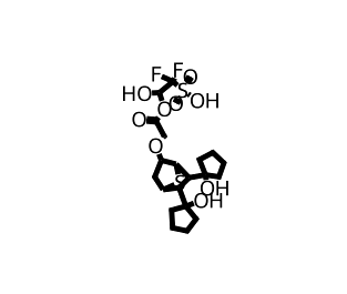 O=C(COC1CC2SC1C(C1(O)CCCC1)C2C1(O)CCCC1)OC(O)C(F)(F)S(=O)(=O)O